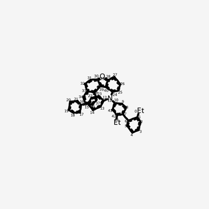 CCc1ccccc1-c1ccc(N(c2ccc(-c3ccccc3)cc2)c2cccc3oc4ccc5ccccc5c4c23)cc1CC